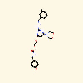 COc1ccc(CNC(=O)OCCOc2cc(N3CCOCC3)nc(NN=Cc3cccc(C)c3)n2)cc1